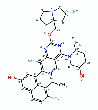 CCc1c(F)ccc2cc(O)cc(-c3ncc4c(N5C[C@H](O)CC[C@@H]5C)nc(OCC56CCCN5C[C@H](F)C6)nc4c3F)c12